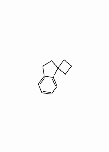 c1ccc2c(c1)CCC21CCC1